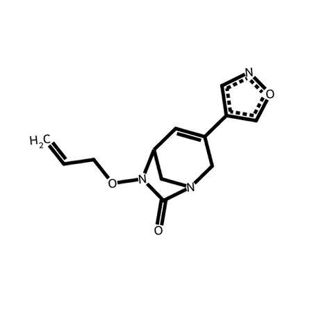 C=CCON1C(=O)N2CC(c3cnoc3)=CC1C2